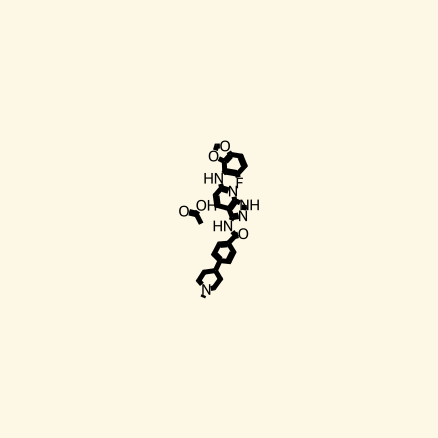 CC(=O)O.CN1CCC(c2ccc(C(=O)Nc3n[nH]c4nc(Nc5c(F)ccc6c5OCO6)ccc34)cc2)CC1